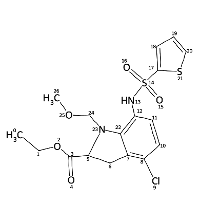 CCOC(=O)C1Cc2c(Cl)ccc(NS(=O)(=O)c3cccs3)c2N1COC